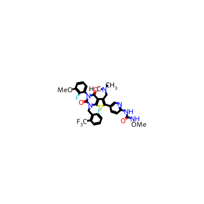 CONC(=O)Nc1ccc(-c2sc3c(c2CN(C)C)c(=O)n(-c2cccc(OC)c2F)c(=O)n3Cc2c(F)cccc2C(F)(F)F)cn1